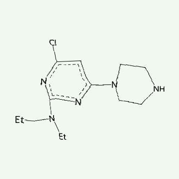 CCN(CC)c1nc(Cl)cc(N2CCNCC2)n1